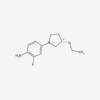 CCO[C@H]1CCN(c2ccc(N)c(F)c2)C1